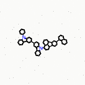 c1ccc(-n2c3ccccc3c3cc(-c4ccc5c(c4)c4ccccc4n5-c4ccc5c6c(cccc46)-c4cc(-c6cccc7ccccc67)ccc4-5)ccc32)cc1